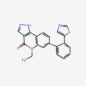 O=c1c2cn[nH]c2c2ccc(-c3ccccc3-c3cnco3)cc2n1CC(F)(F)F